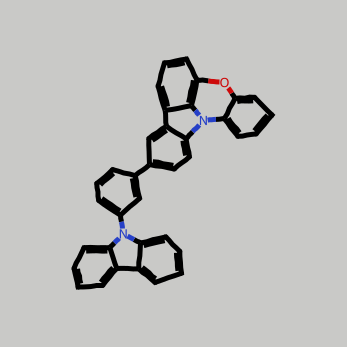 c1cc(-c2ccc3c(c2)c2cccc4c2n3-c2ccccc2O4)cc(-n2c3ccccc3c3ccccc32)c1